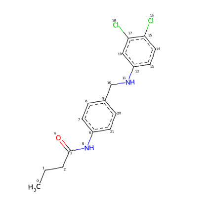 CCCC(=O)Nc1ccc(CNc2ccc(Cl)c(Cl)c2)cc1